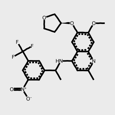 COc1cc2nc(C)cc(NC(C)c3cc([N+](=O)[O-])cc(C(F)(F)F)c3)c2cc1O[C@H]1CCOC1